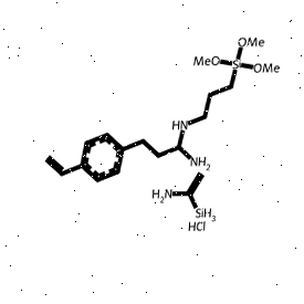 C=C(N)[SiH3].C=Cc1ccc(CCC(N)NCCC[Si](OC)(OC)OC)cc1.Cl